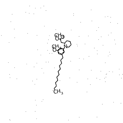 CCCCCCCCCCCCCc1cc(OC)cc(N2CCCCC2CC(=O)OC)c1